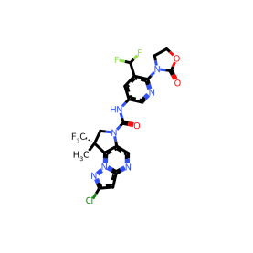 C[C@@]1(C(F)(F)F)CN(C(=O)Nc2cnc(N3CCOC3=O)c(C(F)F)c2)c2cnc3cc(Cl)nn3c21